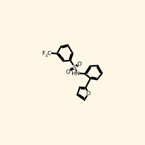 O=S(=O)(Nc1ccccc1-c1ccco1)c1cccc(C(F)(F)F)c1